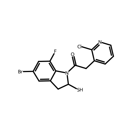 O=C(Cc1cccnc1Cl)N1c2c(F)cc(Br)cc2CC1S